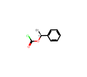 CC[C@H](OC(=O)Cl)c1ccccc1